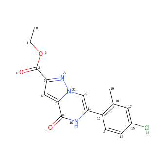 CCOC(=O)c1cc2c(=O)[nH]c(-c3ccc(Cl)cc3C)cn2n1